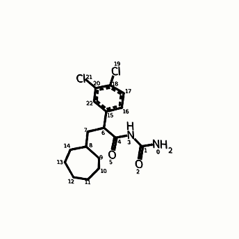 NC(=O)NC(=O)C(CC1CCCCCC1)c1ccc(Cl)c(Cl)c1